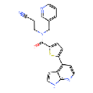 N#CCCN(Cc1cccnc1)C(=O)c1ccc(-c2ccnc3[nH]ccc23)s1